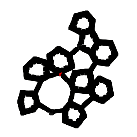 c1ccc(-c2cccc3c2-c2ccc(-c4cccc5c6ccccc6n(-c6ccccc6)c45)cc2Sc2ccccc2-c2ccccc2S3)cc1